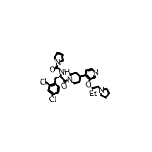 CC[C@@H](CN1CCCC1)Oc1cnccc1C1CCN(C(=O)[C@@H](Cc2ccc(Cl)cc2Cl)NC(=O)N2CCCC2)CC1